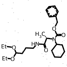 CCOC(CCCNC(=O)[C@H](C)N(C(=O)OCc1ccccc1)C1CCCCC1)OCC